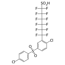 O=S(=O)(c1ccc(Cl)cc1)c1ccc(Cl)c(C(F)(F)C(F)(F)C(F)(F)C(F)(F)C(F)(F)C(F)(F)S(=O)(=O)O)c1